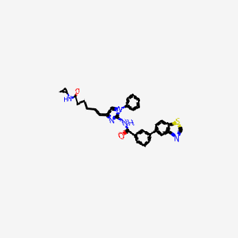 O=C(CCCCCc1cn(-c2ccccc2)c(NC(=O)c2cccc(-c3ccc4scnc4c3)c2)n1)NC1CC1